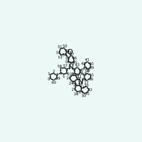 c1ccc(-c2ccc(N(c3ccc(-c4ccccc4-n4c5ccccc5c5ccc6ccccc6c54)c(-c4ccccc4)c3)c3ccc4oc5ccccc5c4c3)cc2)cc1